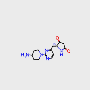 NC1CCN(c2nccc(/C=C3\NC(=O)CC3=O)n2)CC1